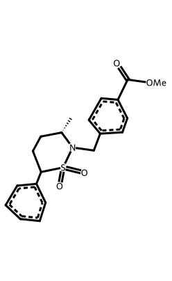 COC(=O)c1ccc(CN2[C@@H](C)CCC(c3ccccc3)S2(=O)=O)cc1